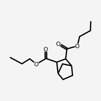 CCCOC(=O)C1C2CCC(C2)C1C(=O)OCCC